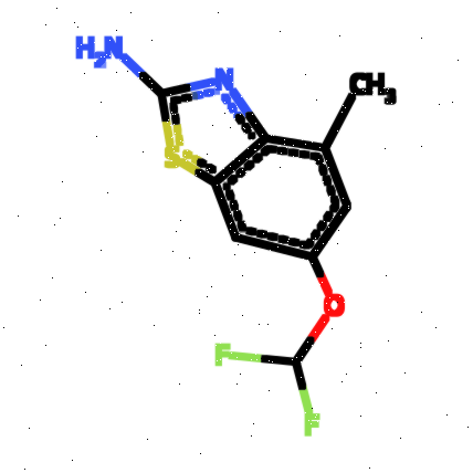 Cc1cc(OC(F)F)cc2sc(N)nc12